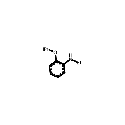 [CH2]CNc1ccccc1OC(C)C